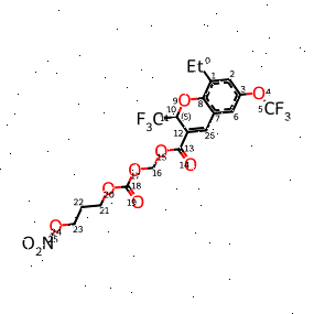 CCc1cc(OC(F)(F)F)cc2c1O[C@H](C(F)(F)F)C(C(=O)OCOC(=O)OCCCO[N+](=O)[O-])=C2